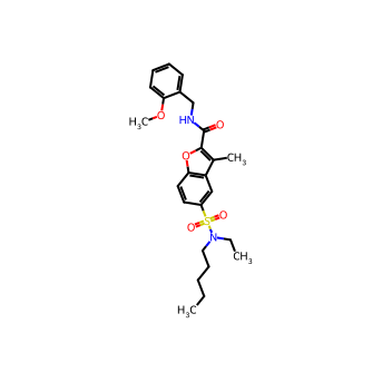 CCCCCN(CC)S(=O)(=O)c1ccc2oc(C(=O)NCc3ccccc3OC)c(C)c2c1